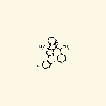 CC(C(=O)N1N=C(c2cc(F)ccc2F)CC1(C)c1ccccc1)N1CCNCC1